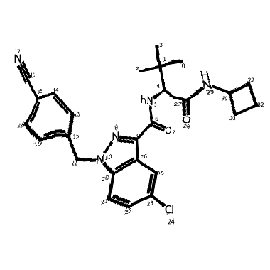 CC(C)(C)[C@H](NC(=O)c1nn(Cc2ccc(C#N)cc2)c2ccc(Cl)cc12)C(=O)NC1CCC1